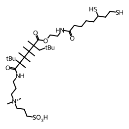 CC(C)(C)CC(C)(C(=O)OCCNC(=O)CCCCC(S)CCS)C(C)(C)C(C)(C)C(C)(C(=O)NCCC[N+](C)(C)CCCS(=O)(=O)O)C(C)(C)C